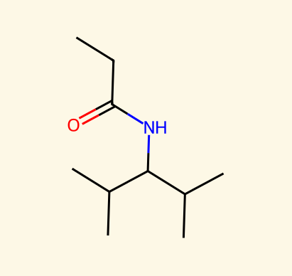 CCC(=O)NC(C(C)C)C(C)C